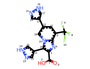 O=C(O)c1nc2c(C(F)(F)F)cc(-c3cn[nH]c3)cn2c1-c1cn[nH]c1